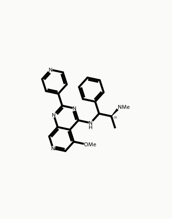 CN[C@@H](C)C(Nc1nc(-c2ccncc2)nc2cncc(OC)c12)c1ccccc1